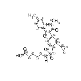 CNC(=O)c1c(-c2ccc(C)cc2)oc2nc(CS(=O)(=O)NCCCCC(=O)O)c(C3CC3)cc12